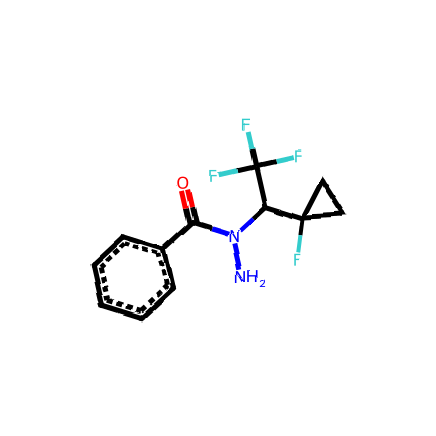 NN(C(=O)c1ccccc1)C(C(F)(F)F)C1(F)CC1